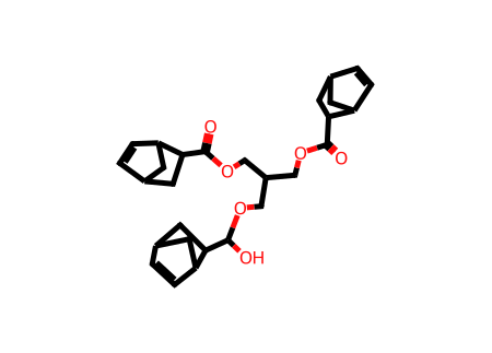 O=C(OCC(COC(=O)C1CC2C=CC1C2)COC(O)C1CC2C=CC1C2)C1CC2C=CC1C2